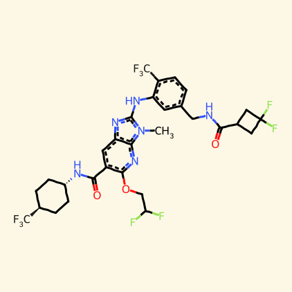 Cn1c(Nc2cc(CNC(=O)C3CC(F)(F)C3)ccc2C(F)(F)F)nc2cc(C(=O)N[C@H]3CC[C@H](C(F)(F)F)CC3)c(OCC(F)F)nc21